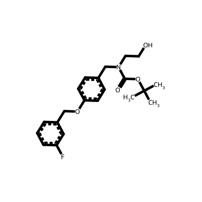 CC(C)(C)OC(=O)N(CCO)Cc1ccc(OCc2cccc(F)c2)cc1